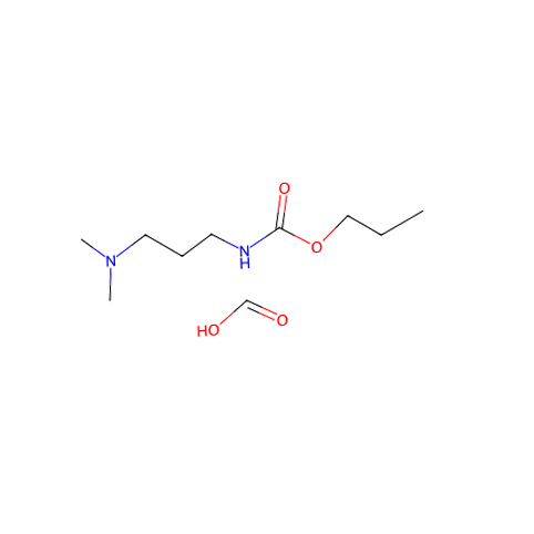 CCCOC(=O)NCCCN(C)C.O=CO